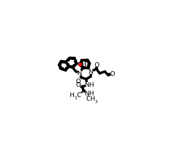 CN[C@@H](C)C(=O)NC1CN(C(=O)CCC=O)c2ccccc2N(Cc2c(C)ccc3ccccc23)C1=O